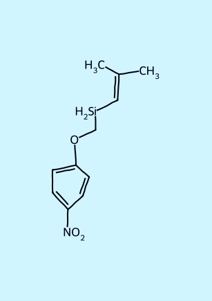 CC(C)=C[SiH2]COc1ccc([N+](=O)[O-])cc1